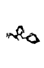 NC(=O)c1cccnc1[CH]c1ccccn1